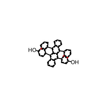 Oc1ccc(-c2c3ccccc3c(-c3ccc(O)cc3)c3c(-c4ccccc4)c4ccccc4c(-c4ccccc4)c23)cc1